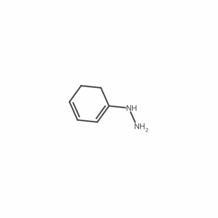 NNC1=CC=CCC1